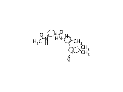 CC(=O)N[C@@H]1CCC[C@H](C(=O)Nc2cc(-c3cc(C#N)n4c3CC(C)(C)C4)c(C)cn2)C1